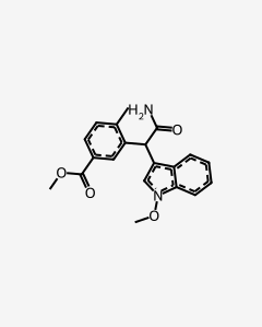 COC(=O)c1ccc(C)c(C(C(N)=O)c2cn(OC)c3ccccc23)c1